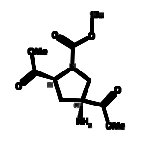 COC(=O)[C@@H]1C[C@](N)(C(=O)OC)CN1C(=O)OC(C)(C)C